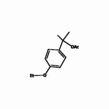 CCOc1ccc(C(C)(C)OC(C)=O)cc1